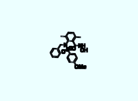 COc1ccc(S(=O)(=O)N(Cc2ccccc2)c2c(C)ccc(C)c2C(=O)NO)cc1